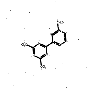 O=[C]c1cccc(-c2nc(C(Cl)(Cl)Cl)nc(C(Cl)(Cl)Cl)n2)c1